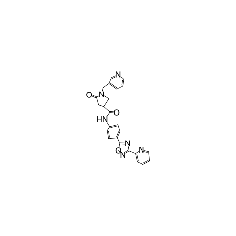 O=C(Nc1ccc(-c2nc(-c3ccccn3)no2)cc1)C1CC(=O)N(Cc2cccnc2)C1